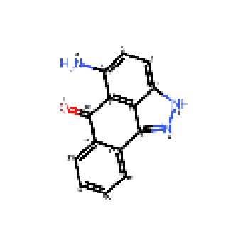 Nc1ccc2[nH]nc3c2c1C(=O)c1ccccc1-3